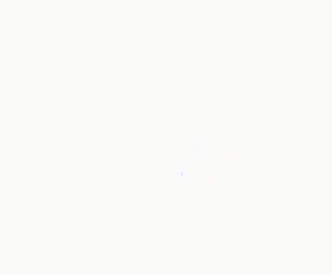 CC(C)(C)OC(=O)NC(=N)c1ccc(OCC(=O)O)cc1